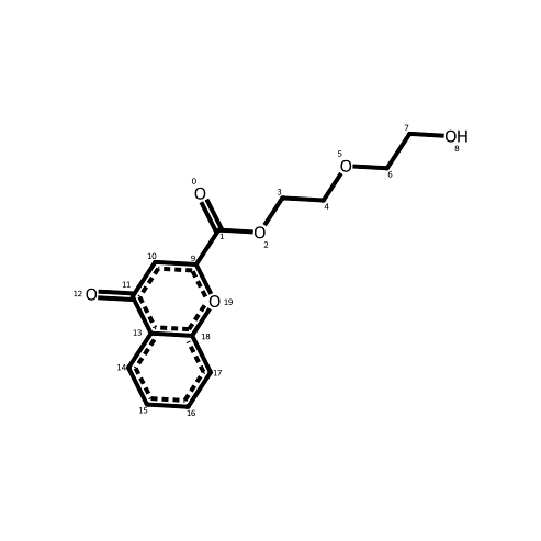 O=C(OCCOCCO)c1cc(=O)c2ccccc2o1